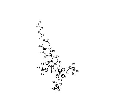 CCCCCC[C@@H]1CCc2cc([C@H]3CC[C@@](COP(=O)(OCC[Si](C)(C)C)OCC[Si](C)(C)C)(NC(=O)OC(C)(C)C)C3)ccc2C1